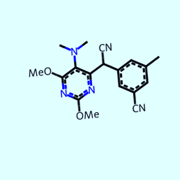 COc1nc(OC)c(N(C)C)c(C(C#N)c2cc(C)cc(C#N)c2)n1